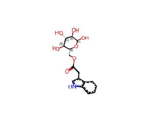 O=C(Cc1c[nH]c2ccccc12)OC[C@H]1O[C@H](O)[C@H](O)[C@@H](O)[C@@H]1O